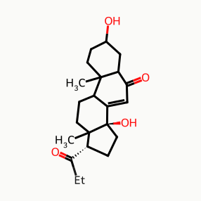 CCC(=O)[C@H]1CC[C@@]2(O)C3=CC(=O)C4CC(O)CCC4(C)C3CCC12C